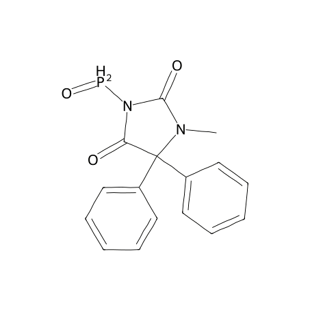 CN1C(=O)N([PH2]=O)C(=O)C1(c1ccccc1)c1ccccc1